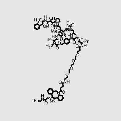 CC[C@H](C)[C@@H]([C@@H](CC(=O)N1CCC[C@H]1[C@H](OC)[C@@H](C)C(=O)N[C@H](C)[C@@H](O)c1ccccc1)OC)N(C)C(=O)[C@@H](NC(=O)[C@H](C(C)C)N(C)C(=O)OCc1ccc(NC(=O)[C@H](CCCNC(N)=O)NC(=O)[C@@H](NC(=O)CCOCCOCCOCCOCCNC(=O)CCC(=O)N2Cc3ccccc3-c3c(nnn3CC(=O)NCC(C)(C)C)-c3ccccc32)C(C)C)cc1)C(C)C